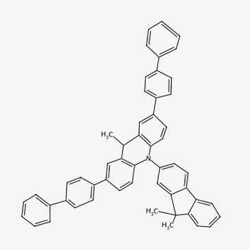 CC1c2cc(-c3ccc(-c4ccccc4)cc3)ccc2N(c2ccc3c(c2)C(C)(C)c2ccccc2-3)c2ccc(-c3ccc(-c4ccccc4)cc3)cc21